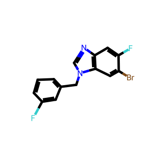 Fc1cccc(Cn2cnc3cc(F)c(Br)cc32)c1